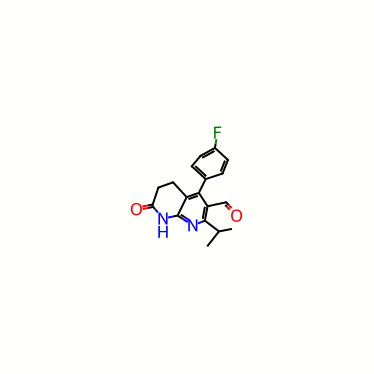 CC(C)c1nc2c(c(-c3ccc(F)cc3)c1C=O)CCC(=O)N2